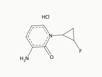 Cl.Nc1cccn(C2CC2F)c1=O